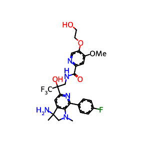 COc1cc(C(=O)NCC(O)(c2cc3c(c(-c4ccc(F)cc4)n2)N(C)CC3(C)N)C(F)(F)F)ncc1OCCO